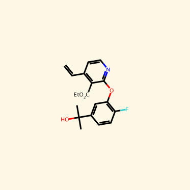 C=Cc1ccnc(Oc2cc(C(C)(C)O)ccc2F)c1C(=O)OCC